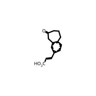 O=C(O)C=Cc1ccc2c(c1)CC(=O)CCC2